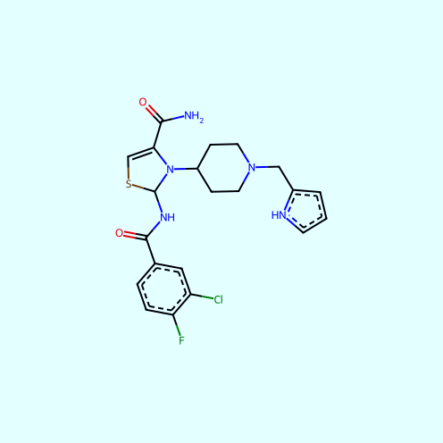 NC(=O)C1=CSC(NC(=O)c2ccc(F)c(Cl)c2)N1C1CCN(Cc2ccc[nH]2)CC1